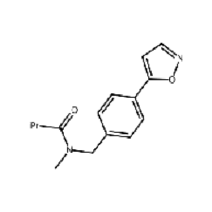 CC(C)C(=O)N(C)Cc1ccc(-c2ccno2)cc1